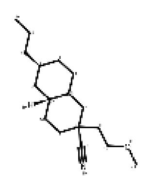 CCC[C@H]1CCC2C[C@](C#N)(CCOC)CC[C@@H]2C1